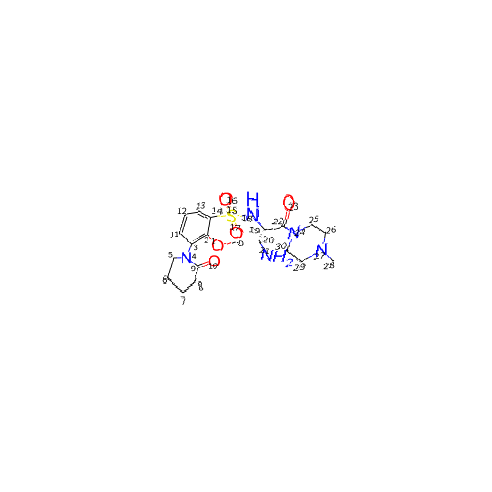 COc1c(N2CCCCC2=O)cccc1S(=O)(=O)N[C@@H](CN)C(=O)N1CCN(C)CC1